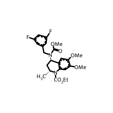 CCOC(=O)N1c2cc(OC)c(OC)cc2[C@@H](N(Cc2cc(F)cc(F)c2)C(=O)OC)C[C@H]1C